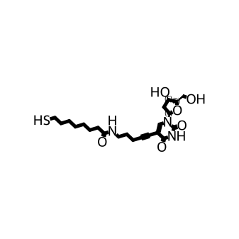 O=C(CCCCCCCS)NCCCC#Cc1cn([C@H]2C[C@H](O)[C@@H](CO)O2)c(=O)[nH]c1=O